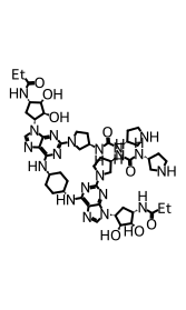 CCC(=O)N[C@H]1C[C@@H](n2cnc3c(N[C@H]4CC[C@H](Nc5nc(N6CC[C@@H](NC(=O)N[C@@H]7CCNC7)C6)nc6c5ncn6[C@@H]5C[C@H](NC(=O)CC)[C@@H](O)[C@H]5O)CC4)nc(N4CC[C@@H](NC(=O)N[C@@H]5CCNC5)C4)nc32)[C@H](O)[C@@H]1O